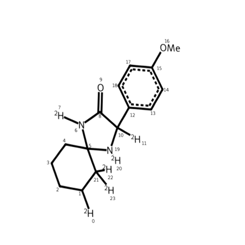 [2H]C1CCCC2(N([2H])C(=O)C([2H])(c3ccc(OC)cc3)N2[2H])C1([2H])[2H]